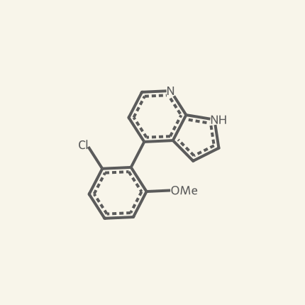 COc1cccc(Cl)c1-c1ccnc2[nH]ccc12